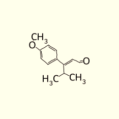 COc1ccc(C(=CC=O)C(C)C)cc1